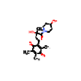 CC1=C(C)C(=O)C(CCC(C)(O)C(=O)N2CCC(O)CC2)=C(C)C1=O